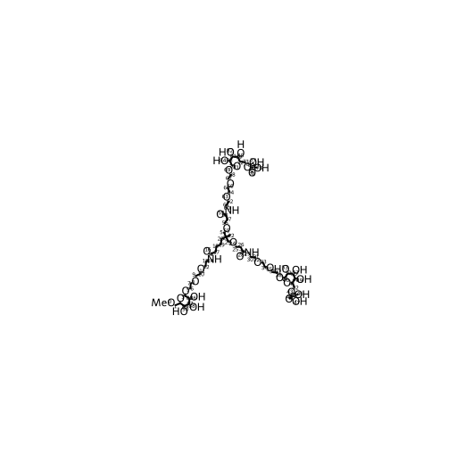 COCC1OC(OCCOCCOCCNC(=O)CCCCC(C)(COCCC(=O)NCCOCCOCCOC2OC(COP(=O)(O)O)C(O)C(O)C2O)COCCC(=O)NCCOCCOCCOC2OC(COP(=O)(O)O)C(O)C(O)C2O)C(O)C(O)C1O